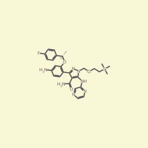 C[C@H](Oc1cc(N)ccc1-c1nn(COCC[Si](C)(C)C)c(Nc2cnccn2)c1C(N)=O)c1ccc(F)cc1